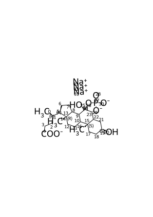 C[C@H](CCC(=O)[O-])[C@H]1CCC2C3C(CC[C@@]21C)[C@@]1(C)CC[C@H](O)CC1C[C@@]3(O)OP(=O)([O-])[O-].[Na+].[Na+].[Na+]